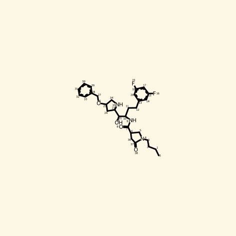 CCCCN1CC(C(=O)NC(CCc2cc(F)cc(F)c2)C(O)C2CC(OCc3ccccc3)CN2)CC1=O